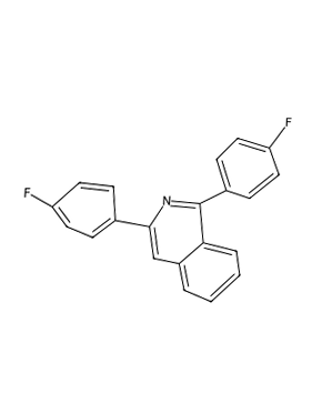 Fc1ccc(-c2cc3ccccc3c(-c3ccc(F)cc3)n2)cc1